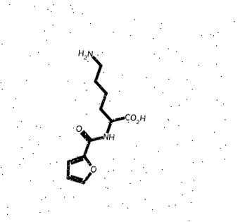 NCCCCC(NC(=O)c1ccco1)C(=O)O